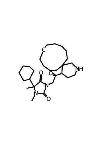 CN1C(=O)N(CC(=O)C2CCNCC23CCCCCCCCCC3)C(=O)C1(C)C1CCCCC1